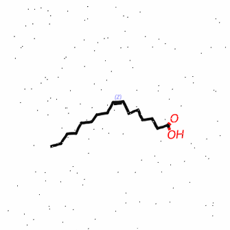 CCCCCCCC/C=C\CCCCCC(=O)O